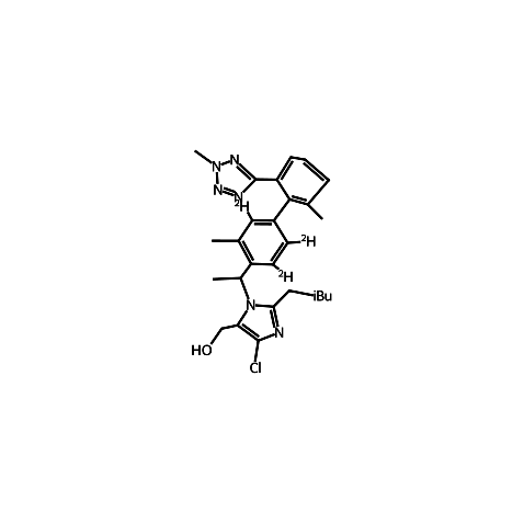 [2H]c1c([2H])c(C(C)n2c(CC(C)CC)nc(Cl)c2CO)c(C)c([2H])c1-c1c(C)cccc1-c1nnn(C)n1